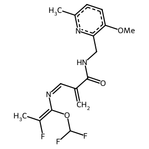 C=C(/C=N\C(OC(F)F)=C(/C)F)C(=O)NCc1nc(C)ccc1OC